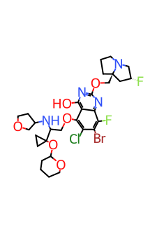 Oc1nc(OC[C@@]23CCCN2C[C@H](F)C3)nc2c(F)c(Br)c(Cl)c(OCC(NC3CCOC3)C3(OC4CCCCO4)CC3)c12